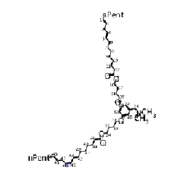 CCCCCC=CCC=CCCCCCCCC(=O)OCCCCOc1cc(CN(C)C)cc(OCCCCOC(=O)CCCCCCC/C=C\CC=CCCCCC)c1